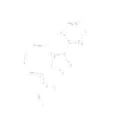 O=CN(F)C1CCCCCn2c(-c3ncc(F)cn3)nnc21